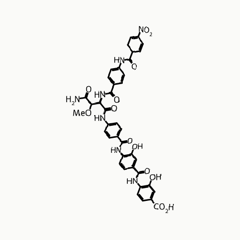 COC(C(N)=O)C(NC(=O)c1ccc(NC(=O)C2C=CC([N+](=O)[O-])=CC2)cc1)C(=O)Nc1ccc(C(=O)Nc2ccc(C(=O)Nc3ccc(C(=O)O)cc3O)cc2O)cc1